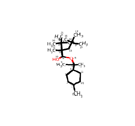 CC1CCC(C(C)(C)OC(O)C(C)(CC(C)(C)C)C(C)(C)C)CC1